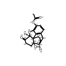 CC(=O)Oc1ccc2c3c1O[C@H]1C(=O)CC[C@@]4(O)[C@H](CCCC314)C2